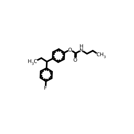 CCCNC(=O)Oc1ccc([C](CC)c2ccc(F)cc2)cc1